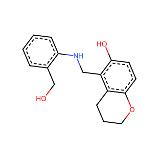 OCc1ccccc1NCc1c(O)ccc2c1CCCO2